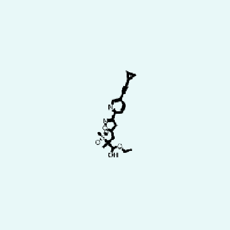 CCOC(O)C(C)(CC1CC(c2ccc(C#CC3CC3)cn2)=NO1)S(C)(=O)=O